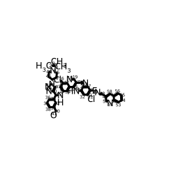 CC(C)(C)N1CCC(n2cc(C(Nc3cc(Cl)c4ncc(C#N)c(Nc5ccc(F)c(Cl)c5)c4c3)c3cccc(C=O)c3)nn2)CC1.N#Cc1cnc2ccccc2c1